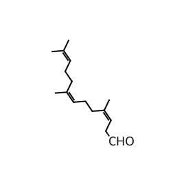 CC(C)=CCCC(C)=CCCC(C)=CCC=O